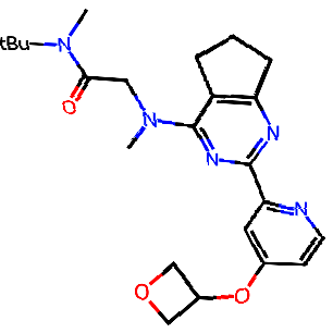 CN(CC(=O)N(C)C(C)(C)C)c1nc(-c2cc(OC3COC3)ccn2)nc2c1CCC2